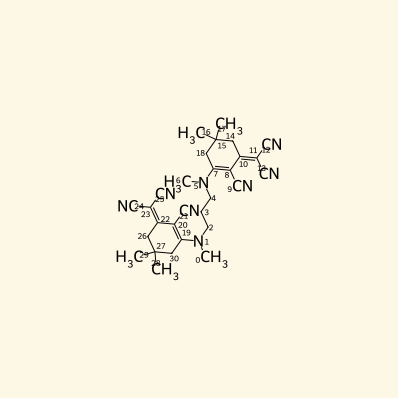 CN(CCCN(C)C1=C(C#N)C(=C(C#N)C#N)CC(C)(C)C1)C1=C(C#N)C(=C(C#N)C#N)CC(C)(C)C1